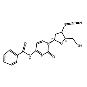 [N-]=[N+]=NC1C[C@H](n2ccc(NC(=O)c3ccccc3)nc2=O)O[C@@H]1CO